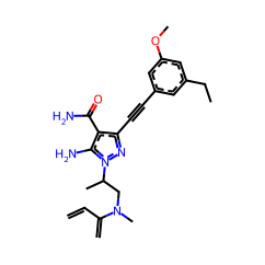 C=CC(=C)N(C)CC(C)n1nc(C#Cc2cc(CC)cc(OC)c2)c(C(N)=O)c1N